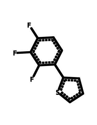 Fc1ccc(-c2cccs2)c(F)c1F